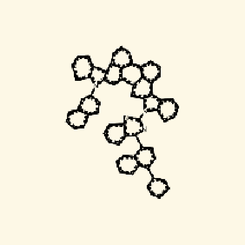 c1ccc(-c2ccc(-c3nc(-n4c5ccccc5c5c6cccc7c8cccc9c8c(cc8c9c9ccccc9n8-c8ccc9ccccc9c8)c(cc54)c76)nc4ccccc34)c3ccccc23)cc1